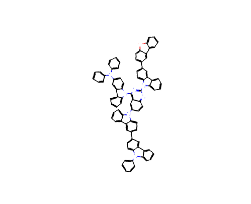 c1ccc(N(c2ccccc2)c2ccc3c(c2)c2ccccc2n3-c2nc(-n3c4ccccc4c4cc(-c5ccc6oc7ccccc7c6c5)ccc43)nc3ccc(-n4c5ccccc5c5cc(-c6ccc7c(c6)c6ccccc6n7-c6ccccc6)ccc54)cc23)cc1